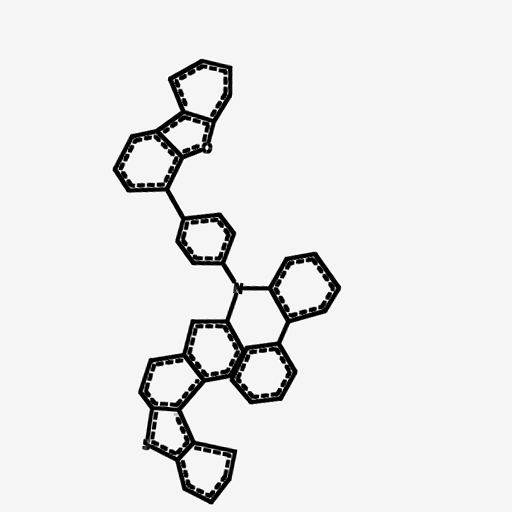 c1ccc(-c2ccccc2N(c2ccc(-c3cccc4c3oc3ccccc34)cc2)c2ccc3c(ccc4sc5ccccc5c43)c2)cc1